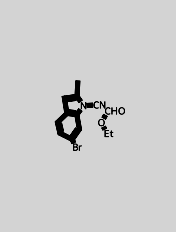 CCOC=O.Cc1cc2ccc(Br)cc2n1C#N